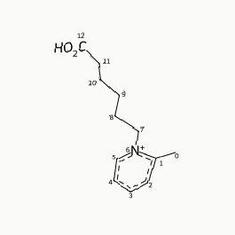 Cc1cccc[n+]1CCCCCC(=O)O